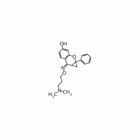 CN(C)CCCON=C1c2ccc(O)cc2OC2(c3ccccc3)CC12